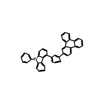 c1ccc(-n2c3ccccc3c3c(-c4cccc(-c5ccc6c7ccccc7c7ccccc7c6c5)c4)cccc32)cc1